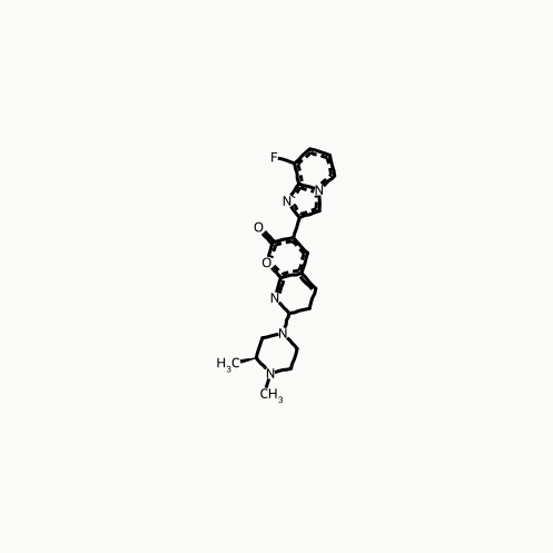 C[C@H]1CN(C2CC=c3cc(-c4cn5cccc(F)c5n4)c(=O)oc3=N2)CCN1C